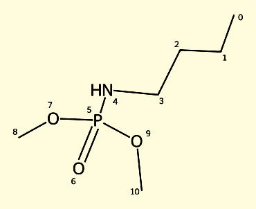 CCCCNP(=O)(OC)OC